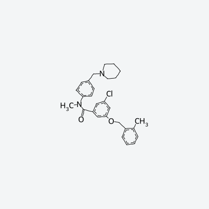 Cc1ccccc1COc1cc(Cl)cc(C(=O)N(C)c2ccc(CN3CCCCC3)cc2)c1